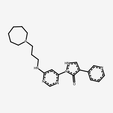 O=c1c(-c2cccnc2)c[nH]n1-c1cc(NCCCN2CCCCCC2)ncn1